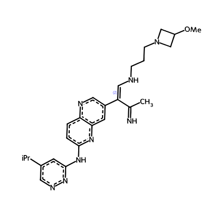 COC1CN(CCCN/C=C(\C(C)=N)c2cnc3ccc(Nc4cc(C(C)C)cnn4)nc3c2)C1